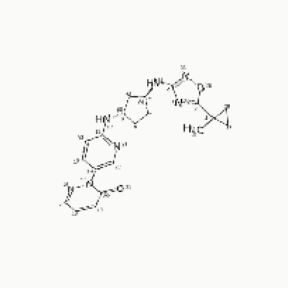 CC1(c2nc(N[C@H]3CC[C@H](Nc4ccc(-n5ncccc5=O)cn4)C3)no2)CC1